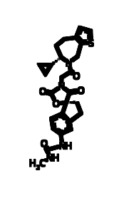 CNC(=O)Nc1ccc2c(c1)CC[C@@]21OC(=O)N(CC(=O)N2Cc3sccc3CC[C@H]2C2CC2)C1=O